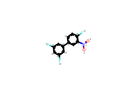 O=[N+]([O-])c1cc(-c2cc(F)cc(F)c2)ccc1F